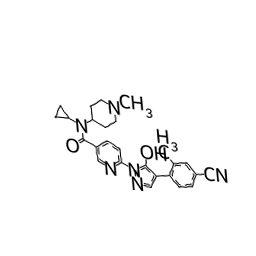 Cc1cc(C#N)ccc1-c1cnn(-c2ccc(C(=O)N(C3CC3)C3CCN(C)CC3)cn2)c1O